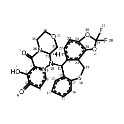 O=C1c2c(O)c(=O)ccn2N([C@@H]2c3ccccc3SCc3c2ccc2c3OC(F)(F)O2)[C@@H]2COCCN12